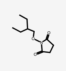 CCC(CC)CON1C(=O)CCC1=O